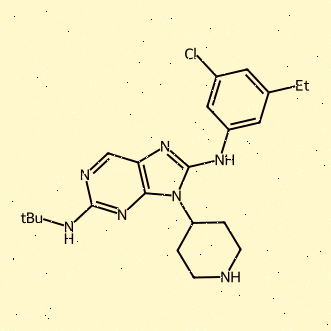 CCc1cc(Cl)cc(Nc2nc3cnc(NC(C)(C)C)nc3n2C2CCNCC2)c1